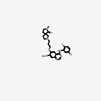 COc1cc2ncnc(Nc3cc(Cl)ccc3F)c2cc1OCCCN1CCC2(CCN(C)C2=O)C1